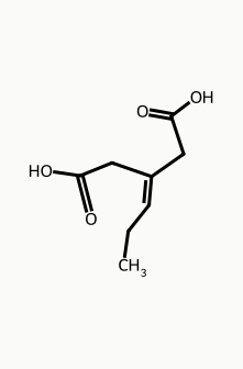 CCC=C(CC(=O)O)CC(=O)O